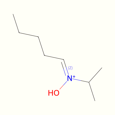 CCCC/C=[N+](\O)C(C)C